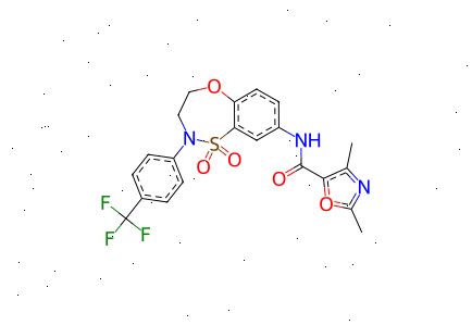 Cc1nc(C)c(C(=O)Nc2ccc3c(c2)S(=O)(=O)N(c2ccc(C(F)(F)F)cc2)CCO3)o1